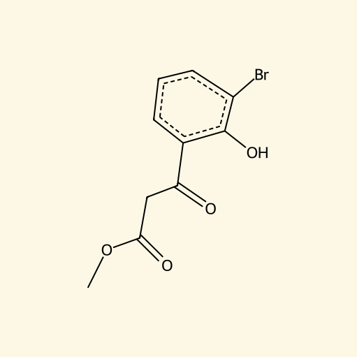 COC(=O)CC(=O)c1cccc(Br)c1O